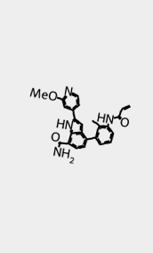 C=CC(=O)Nc1cccc(-c2ccc(C(N)=O)c3[nH]c(-c4ccnc(OC)c4)cc23)c1C